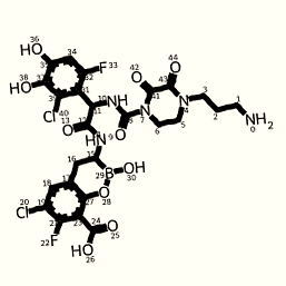 NCCCN1CCN(C(=O)NC(C(=O)NC2Cc3cc(Cl)c(F)c(C(=O)O)c3OB2O)c2c(F)cc(O)c(O)c2Cl)C(=O)C1=O